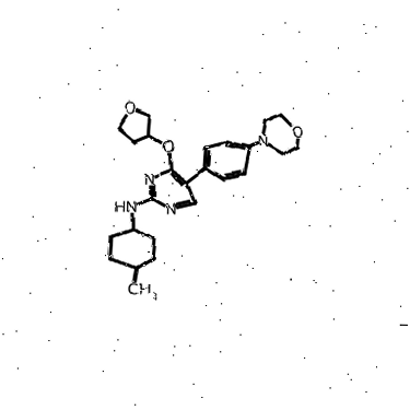 CC1CCC(Nc2ncc(-c3ccc(N4CCOCC4)cc3)c(OC3CCOC3)n2)CC1